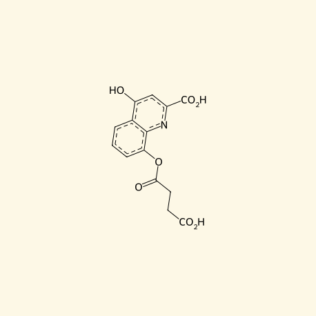 O=C(O)CCC(=O)Oc1cccc2c(O)cc(C(=O)O)nc12